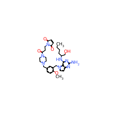 CCCCC(CO)Nc1nc(N)nc2ccn(Cc3cc(CN4CCN(C(=O)CCN5C(=O)C=CC5=O)CC4)ccc3OC)c12